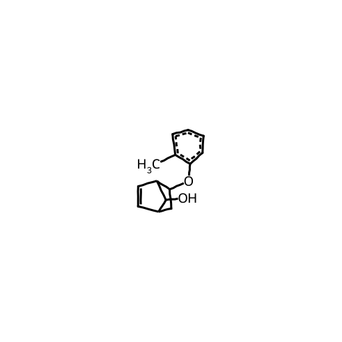 Cc1ccccc1OC1CC2C=CC1C2O